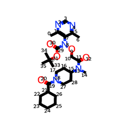 Cc1ncnc(C)c1N(OCC(=O)N(C)C1CCN(C(=O)C2CCCCC2)CC1)C(=O)OC(C)(C)C